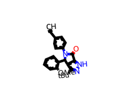 C#Cc1ccc(N2C(=O)c3[nH]nc(C(C)(C)C)c3C2c2ccccc2OC)cc1